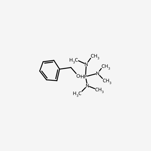 CN(C)[PH](OCc1ccccc1)(N(C)C)N(C)C